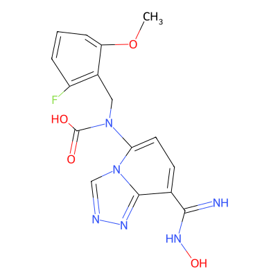 COc1cccc(F)c1CN(C(=O)O)c1ccc(C(=N)NO)c2nncn12